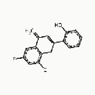 C=C1C=C(c2ccccc2O)Cc2c(Cl)cc(F)cc21